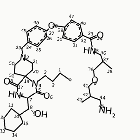 CCCCN1C(=O)[C@@H]([C@H](O)C2CCCCC2)NC(=O)C12CCN(Cc1ccc(Oc3ccc(C(=O)NCC(C)COCC(C)CN)cc3)cc1)CC2